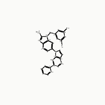 Cc1nc2ncc(-n3ccc4ncc(-c5ccccn5)nc43)cc2n1Cc1cc(F)cc(F)c1